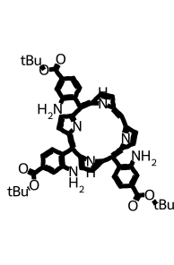 CC(C)(C)OC(=O)c1ccc(-c2c3nc(c(-c4ccc(C(=O)OC(C)(C)C)cc4N)c4ccc([nH]4)c(-c4ccc(C(=O)OC(C)(C)C)cc4N)c4nc(cc5ccc2[nH]5)C=C4)C=C3)c(N)c1